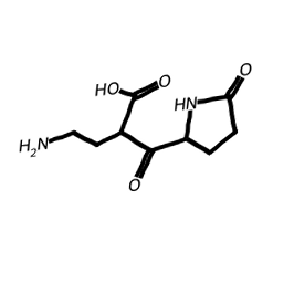 NCCC(C(=O)O)C(=O)C1CCC(=O)N1